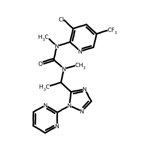 CC(c1ncnn1-c1ncccn1)N(C)C(=O)N(C)c1ncc(C(F)(F)F)cc1Cl